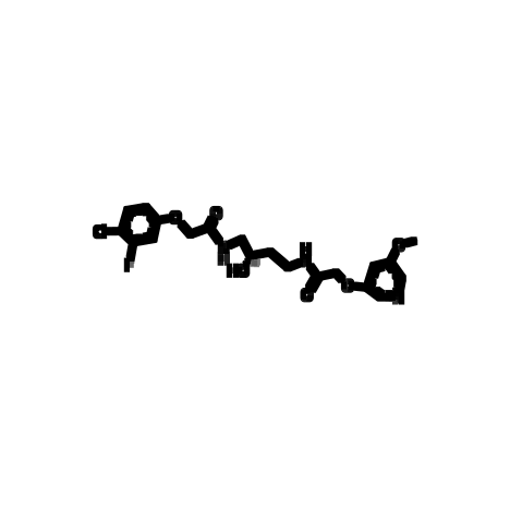 COc1cncc(OCC(=O)NCC[C@H](O)CNC(=O)COc2ccc(Cl)c(F)c2)c1